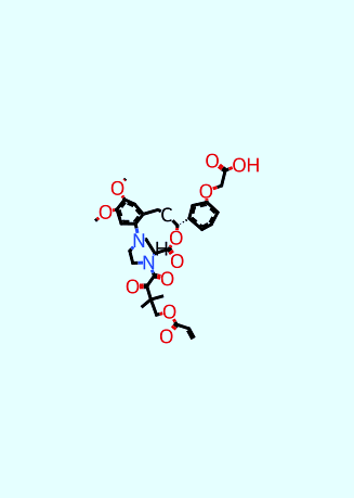 C=CC(=O)OCC(C)(C)C(=O)C(=O)N1CCN2C[C@H]1C(=O)O[C@@H](c1cccc(OCC(=O)O)c1)CCc1cc(OC)c(OC)cc12